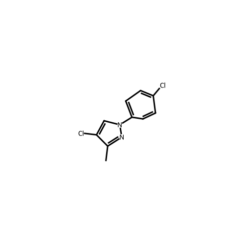 Cc1nn(-c2ccc(Cl)cc2)cc1Cl